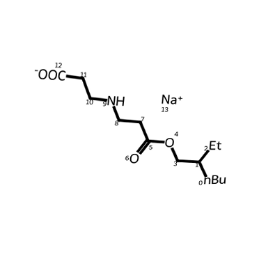 CCCCC(CC)COC(=O)CCNCCC(=O)[O-].[Na+]